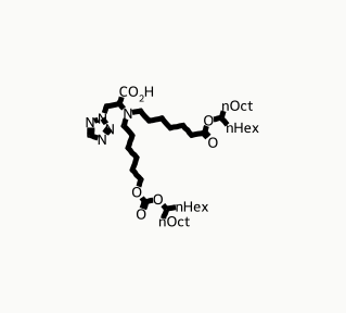 CCCCCCCCC(CCCCCC)OC(=O)CCCCCCN(CCCCCCOC(=O)OC(CCCCCC)CCCCCCCC)C(Cn1ncnn1)C(=O)O